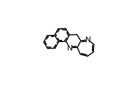 C1=CN=C2Cc3ccc4ccccc4c3N=C2C=C1